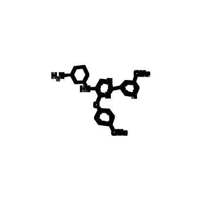 COc1ccc(Oc2nc(-c3cncc(OC)c3)ncc2N[C@@H]2CCC[C@H](N)C2)cc1